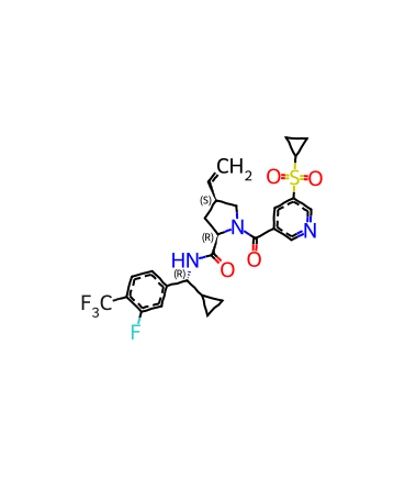 C=C[C@@H]1C[C@H](C(=O)N[C@@H](c2ccc(C(F)(F)F)c(F)c2)C2CC2)N(C(=O)c2cncc(S(=O)(=O)C3CC3)c2)C1